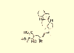 CC(C)[C@H](C=C[C@@H](C)[C@H]1CC[C@H]2C3=CCC4CCCC[C@]4(C)[C@H]3CC[C@]12C)CC(C(=O)O)C(O)C(=O)O